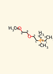 CC[P+](C)(C)CCOCCOC